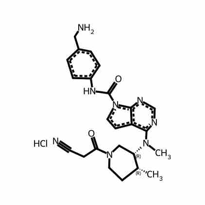 C[C@@H]1CCN(C(=O)CC#N)C[C@@H]1N(C)c1ncnc2c1ccn2C(=O)Nc1ccc(CN)cc1.Cl